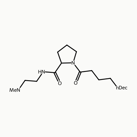 CCCCCCCCCCCCCC(=O)N1CCCC1C(=O)NCCNC